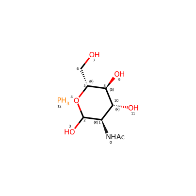 CC(=O)N[C@H]1C(O)O[C@H](CO)[C@@H](O)[C@@H]1O.P